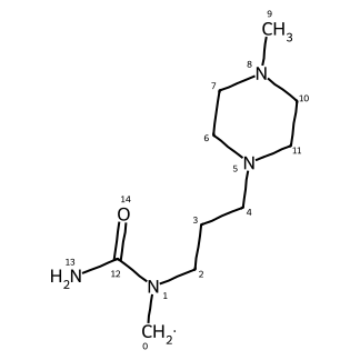 [CH2]N(CCCN1CCN(C)CC1)C(N)=O